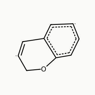 [C]1=Cc2c[c]ccc2OC1